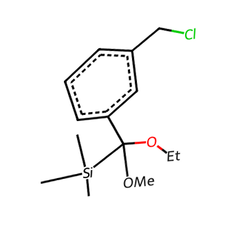 CCOC(OC)(c1cccc(CCl)c1)[Si](C)(C)C